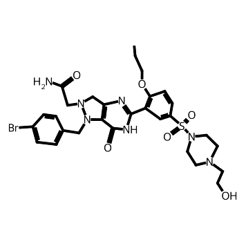 CCCOc1ccc(S(=O)(=O)N2CCN(CCO)CC2)cc1-c1nc2c(c(=O)[nH]1)N(Cc1ccc(Br)cc1)N(CC(N)=O)C2